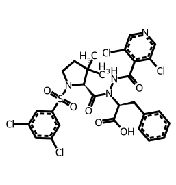 CC1(C)CCN(S(=O)(=O)c2cc(Cl)cc(Cl)c2)[C@@H]1C(=O)N(NC(=O)c1c(Cl)cncc1Cl)[C@@H](Cc1ccccc1)C(=O)O